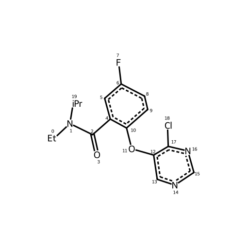 CCN(C(=O)c1cc(F)ccc1Oc1cncnc1Cl)C(C)C